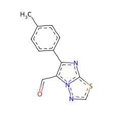 Cc1ccc(-c2nc3scnn3c2C=O)cc1